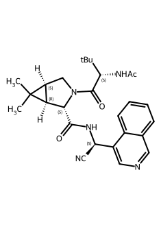 CC(=O)N[C@H](C(=O)N1C[C@H]2[C@@H]([C@H]1C(=O)N[C@H](C#N)c1cncc3ccccc13)C2(C)C)C(C)(C)C